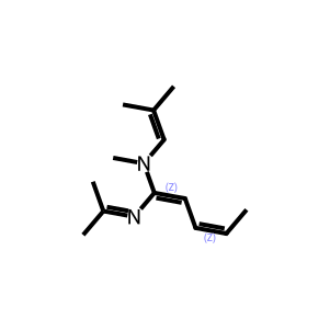 C/C=C\C=C(/N=C(C)C)N(C)C=C(C)C